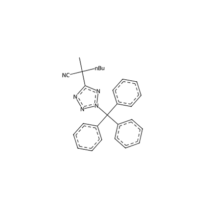 CCCCC(C)(C#N)c1nnn(C(c2ccccc2)(c2ccccc2)c2ccccc2)n1